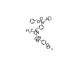 Cc1cc(-c2nc(-c3ccc(OC(F)(F)F)cc3)no2)nn1Cc1cccc(N(CCN2CCCC2)C(=O)OCc2ccccc2)c1